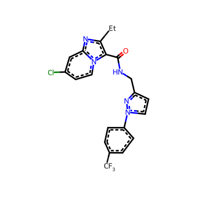 CCc1nc2cc(Cl)ccn2c1C(=O)NCc1ccn(-c2ccc(C(F)(F)F)cc2)n1